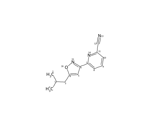 CC(C)Cc1cc(-c2cccc(C#N)n2)no1